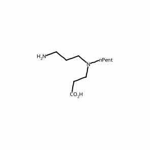 CCCCCN(CCCN)CCC(=O)O